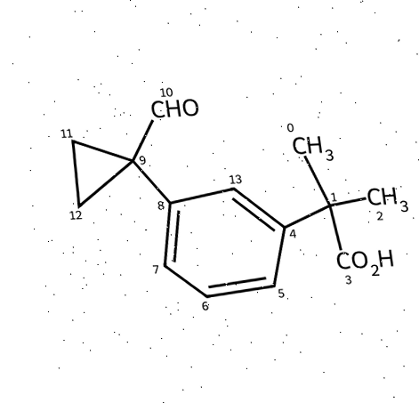 CC(C)(C(=O)O)c1cccc(C2(C=O)CC2)c1